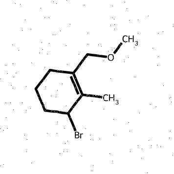 COCC1=C(C)C(Br)CCC1